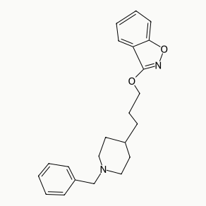 c1ccc(CN2CCC(CCCOc3noc4ccccc34)CC2)cc1